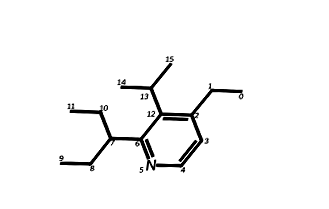 CCc1ccnc(C(CC)CC)c1C(C)C